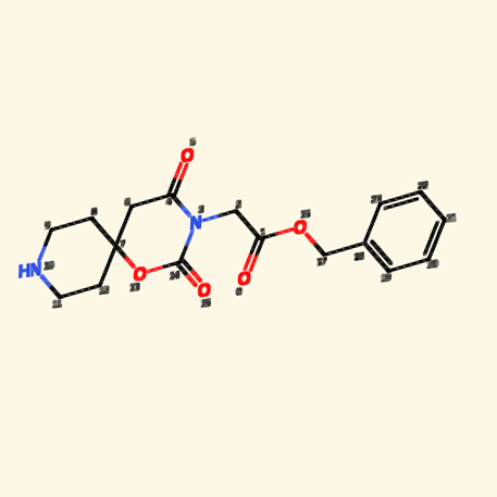 O=C(CN1C(=O)CC2(CCNCC2)OC1=O)OCc1ccccc1